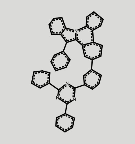 c1ccc(-c2nc(-c3ccccc3)nc(-c3cccc(-c4ccc5c6ccccc6n6c7ccccc7c(-c7ccccc7)c6c5c4)c3)n2)cc1